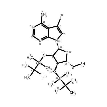 CC(C)(C)[Si](C)(C)O[C@@H]1[C@H](O[Si](C)(C)C(C)(C)C)[C@@H](CS)O[C@H]1n1cc(I)c2c(N)ncnc21